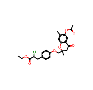 CCOC(=O)C(Cl)Cc1ccc(OCC2(C)CC(=O)c3cc(OC(C)=O)c(C)cc3O2)cc1